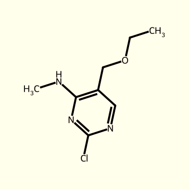 CCOCc1cnc(Cl)nc1NC